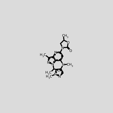 Cc1nn(C(C)C)c2c(N(C)c3cnn(C)c3)cc(N3CC(C)OC3=O)nc12